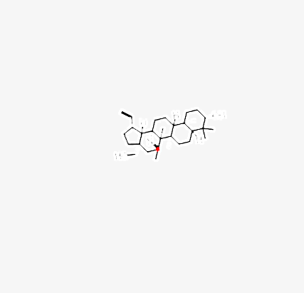 C=C[C@@H]1CC[C@]2(CO)CC[C@]3(C)[C@](/N=C/C)(CC[C@@H]4[C@@]5(C)CC[C@H](O)C(C)(C)[C@@H]5CC[C@]43C)[C@@H]12